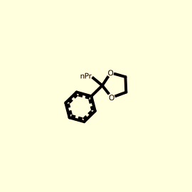 CCCC1(c2ccccc2)OCCO1